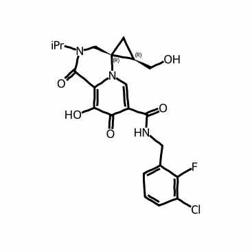 CC(C)N1C[C@]2(C[C@H]2CO)n2cc(C(=O)NCc3cccc(Cl)c3F)c(=O)c(O)c2C1=O